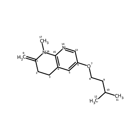 C=C1CCc2cc(OCCC(C)C)cnc2N1C